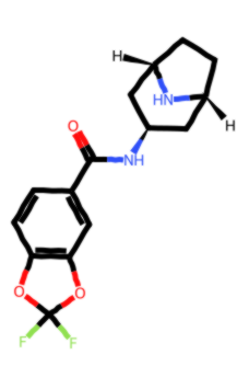 O=C(N[C@@H]1C[C@H]2CC[C@@H](C1)N2)c1ccc2c(c1)OC(F)(F)O2